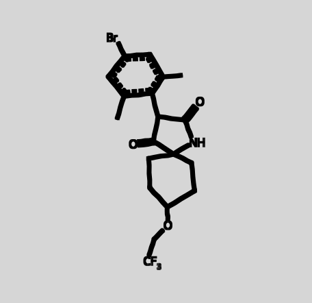 Cc1cc(Br)cc(C)c1C1C(=O)NC2(CCC(OCC(F)(F)F)CC2)C1=O